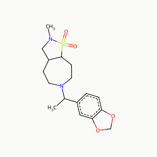 CC(c1ccc2c(c1)OCO2)N1CCC2CN(C)S(=O)(=O)C2CC1